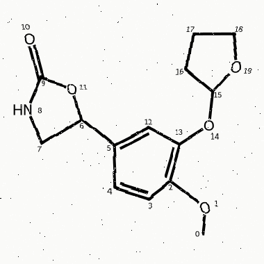 COc1ccc(C2CNC(=O)O2)cc1OC1CCCO1